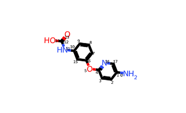 Nc1ccc(Oc2cccc(NC(=O)O)c2)nc1